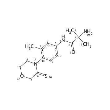 Cc1cc(NC(=O)C(C)(C)N)ccc1N1CCOCC1=S